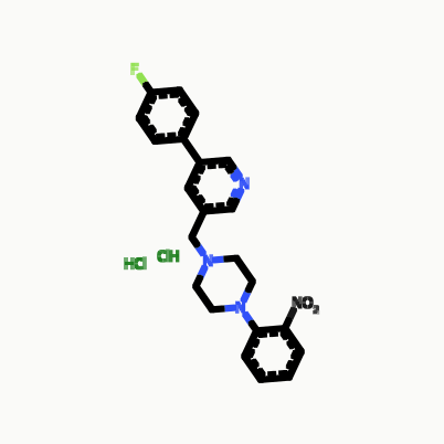 Cl.Cl.O=[N+]([O-])c1ccccc1N1CCN(Cc2cncc(-c3ccc(F)cc3)c2)CC1